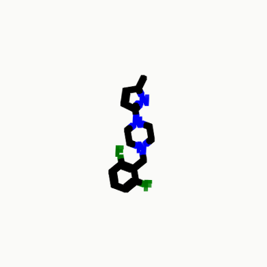 CC1C=CC(N2CCN(Cc3c(F)cccc3F)CC2)=N1